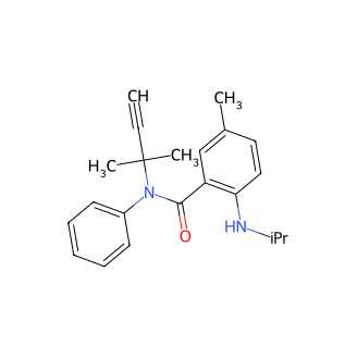 C#CC(C)(C)N(C(=O)c1cc(C)ccc1NC(C)C)c1ccccc1